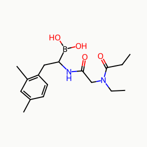 CCC(=O)N(CC)CC(=O)NC(Cc1ccc(C)cc1C)B(O)O